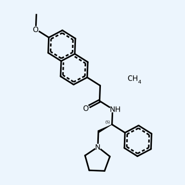 C.COc1ccc2cc(CC(=O)N[C@H](CN3CCCC3)c3ccccc3)ccc2c1